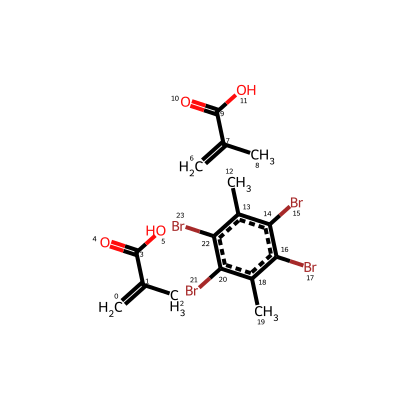 C=C(C)C(=O)O.C=C(C)C(=O)O.Cc1c(Br)c(Br)c(C)c(Br)c1Br